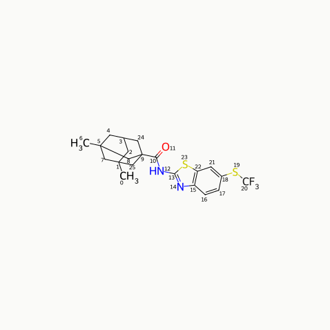 CC12CC3CC(C)(C1)CC(C(=O)Nc1nc4ccc(SC(F)(F)F)cc4s1)(C3)C2